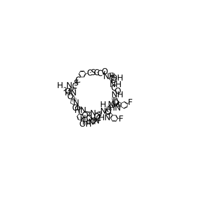 C[C@@]12CCCN1C(=O)[C@H](Cc1ccc(O)cc1)NC(=O)[C@H](Cc1cnc[nH]1)NC(=O)[C@H](CC(=O)O)NC(=O)[C@H](Cc1c[nH]c3ccc(F)cc13)NC(=O)[C@H](Cc1c[nH]c3ccc(F)cc13)NC(=O)CNC(=O)C(C1(O)CC1)NC(=O)CCSCc1cccc(c1)CSC[C@@H](C(N)=O)NC2=O